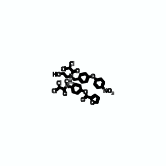 CN(C(=O)C(Cl)Cl)c1ccc(OC(=O)c2ccco2)cc1.O=C(C(Cl)Cl)N(CCO)Cc1ccc(Oc2ccc([N+](=O)[O-])cc2)cc1